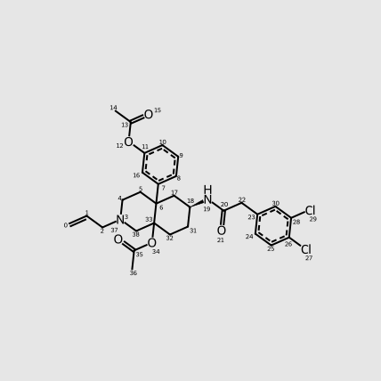 C=CCN1CCC2(c3cccc(OC(C)=O)c3)C[C@@H](NC(=O)Cc3ccc(Cl)c(Cl)c3)CCC2(OC(C)=O)C1